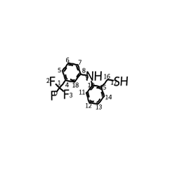 FC(F)(F)c1cccc(Nc2ccccc2CS)c1